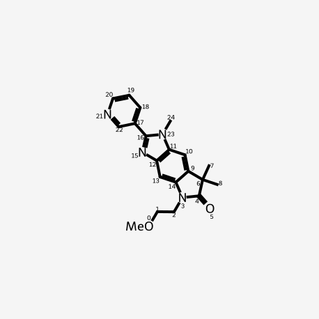 COCCN1C(=O)C(C)(C)c2cc3c(cc21)nc(-c1cccnc1)n3C